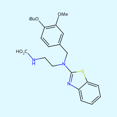 COc1cc(CN(CCNC(=O)O)c2nc3ccccc3s2)ccc1OCC(C)C